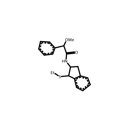 CCSC1c2ccccc2CC1NC(=O)C(OC)c1ccccc1